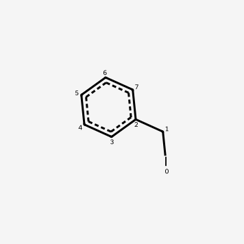 ICc1ccccc1